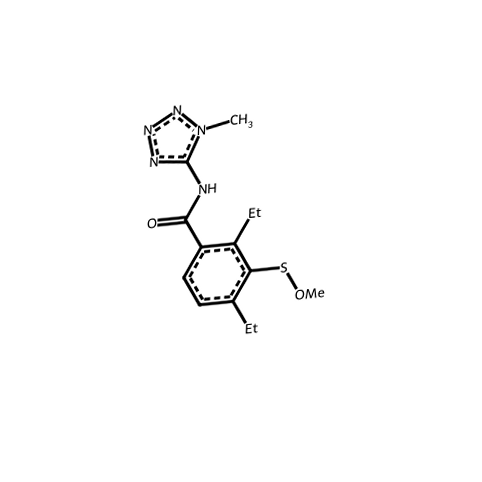 CCc1ccc(C(=O)Nc2nnnn2C)c(CC)c1SOC